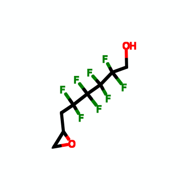 OCC(F)(F)C(F)(F)C(F)(F)C(F)(F)CC1CO1